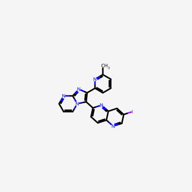 Cc1cccc(-c2nc3ncccn3c2-c2ccc3ncc(I)cc3n2)n1